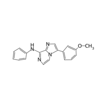 COc1cccc(-c2cnc3c(Nc4ccccc4)nccn23)c1